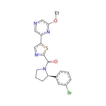 CCOc1cncc(-c2cnc(C(=O)N3CCC[C@@H]3c3cccc(Br)c3)s2)n1